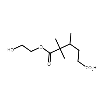 CC(CCC(=O)O)C(C)(C)C(=O)OCCO